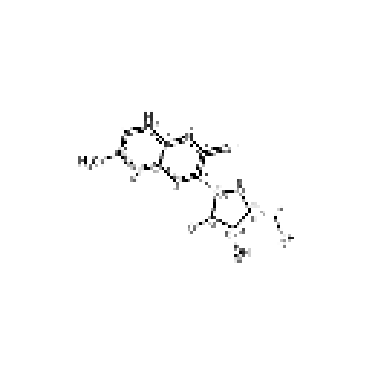 Cc1c[nH]c2nc(=S)c([C@@H]3O[C@H](CO)[C@H](O)C3O)cc-2n1